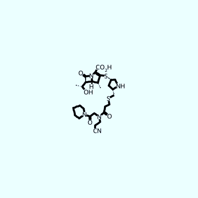 C[C@@H](O)[C@H]1C(=O)N2C(C(=O)O)=C(S[C@@H]3CN[C@H](CSCCC(=O)N(CCC#N)CC(=O)N4CCCCC4)C3)[C@H](C)[C@H]12